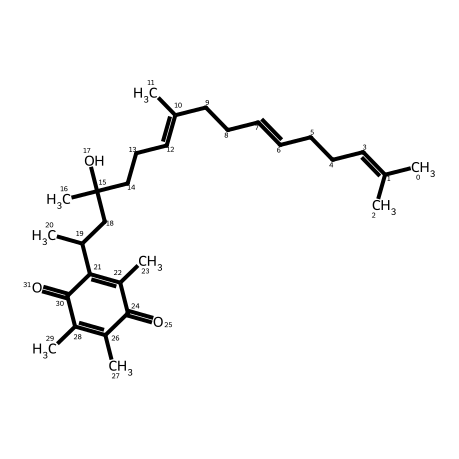 CC(C)=CCC/C=C/CC/C(C)=C/CCC(C)(O)CC(C)C1=C(C)C(=O)C(C)=C(C)C1=O